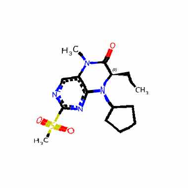 CC[C@@H]1C(=O)N(C)c2cnc(S(C)(=O)=O)nc2N1C1CCCC1